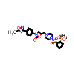 Cc1nc(-c2ccc(N3CC(CN4CCN(S(=O)(=O)c5ccccc5S(C)(=O)=O)CC4)OC3=O)cc2)no1